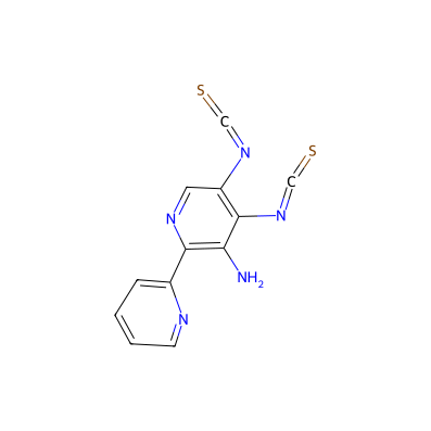 Nc1c(-c2ccccn2)ncc(N=C=S)c1N=C=S